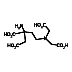 NC(CCN(CC(=O)O)CC(=O)O)(CC(=O)O)C(=O)O